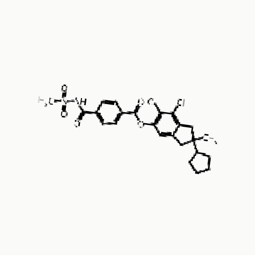 CC1(C2CCCC2)Cc2cc(OC(=O)c3ccc(C(=O)NS(C)(=O)=O)cc3)c(Cl)c(Cl)c2C1